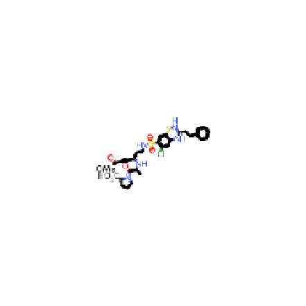 COC(=O)C#CC(CCNS(=O)(=O)c1cc2c(cc1Cl)N[C@H](CCc1ccccc1)NS2)NC(C)C(=O)N1CCC[C@H]1C(=O)O